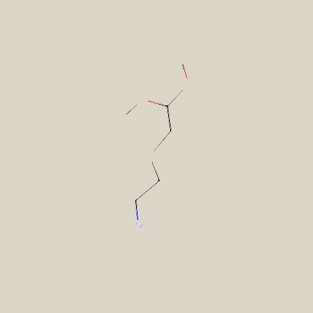 COC(CSCC[N])OC